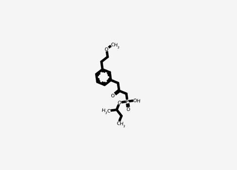 CCC(C)OP(=O)(O)CC(=O)Cc1cccc(CCOC)c1